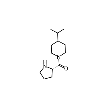 CC(C)C1CCN(C(=O)[C@@H]2CCCN2)CC1